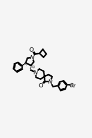 O=C(C1CCC1)N1C[C@H](CN2CCC3(CC2)CCN(Cc2ccc(Br)cc2)C3=O)[C@@H](c2ccccc2)C1